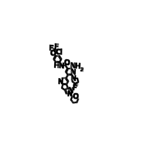 Nc1nc(N2CC[C@@H](F)C2)c(-c2cnc3c(c2)-c2nn(C4CCCCO4)cc2C3)cc1C(=O)Nc1ccc(OC(F)(F)Cl)cc1